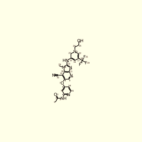 CC(=O)Nc1cc(Oc2cnc3nc(NC4=CC(C(F)(F)F)=CN(CCO)C4)n(C)c3c2C#N)ccn1